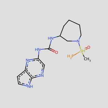 C[SH](=O)(P)N1CCCCC(NC(=O)Nc2cnc3[nH]ccc3n2)C1